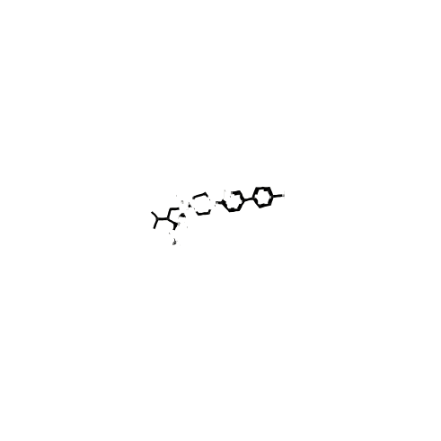 CC(C)C(CS(=O)(=O)N1CCN(c2ccc(-c3ccc(F)cc3)cn2)CC1)C(=O)NO